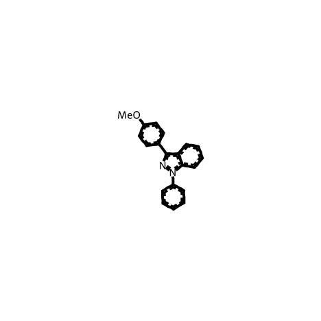 COc1ccc(-c2nn(-c3ccccc3)c3ccccc23)cc1